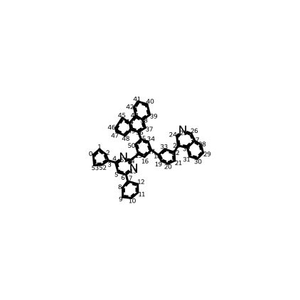 c1ccc(-c2cc(-c3ccccc3)nc(-c3cc(-c4cccc(-c5cncc6ccccc56)c4)cc(-c4cc5ccccc5c5ccccc45)c3)n2)cc1